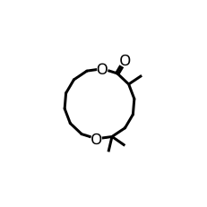 CC1CCCC(C)(C)OCCCCCCOC1=O